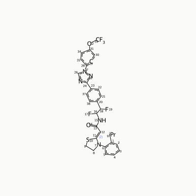 CC(C)c1ccccc1N1CCS/C1=C\C(=O)NC(F)C(F)c1ccc(-c2ncn(-c3ccc(OC(F)(F)F)cc3)n2)cc1